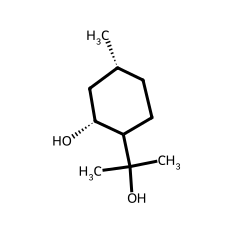 C[C@@H]1CCC(C(C)(C)O)[C@H](O)C1